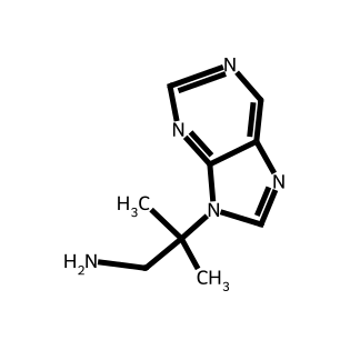 CC(C)(CN)n1cnc2cncnc21